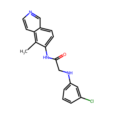 Cc1c(NC(=O)CNc2cccc(Cl)c2)ccc2cnccc12